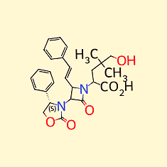 CC(C)(CO)CC(C(=O)O)N1C(=O)C(N2C(=O)OC[C@@H]2c2ccccc2)C1C=Cc1ccccc1